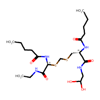 O=C(O)CCCC(=O)N[C@@H](CSCS[C@H](NC(=O)CCCC(=O)O)C(=O)NCC(=O)O)C(=O)NCC(O)O